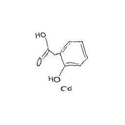 O=C(O)c1ccccc1O.[Cd]